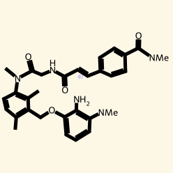 CNC(=O)c1ccc(/C=C/C(=O)NCC(=O)N(C)c2ccc(C)c(COc3cccc(NC)c3N)c2C)cc1